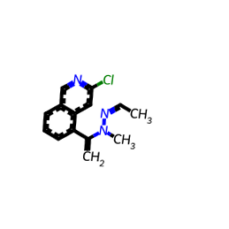 C=C(c1cccc2cnc(Cl)cc12)N(C)/N=C\C